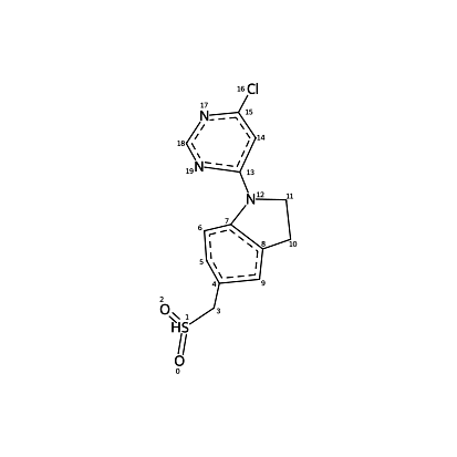 O=[SH](=O)Cc1ccc2c(c1)CCN2c1cc(Cl)ncn1